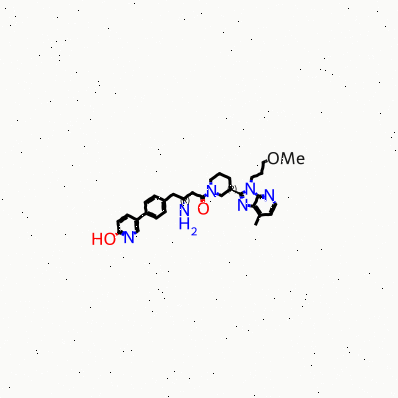 COCCCn1c([C@@H]2CCCN(C(=O)C[C@H](N)Cc3ccc(-c4ccc(O)nc4)cc3)C2)nc2c(C)ccnc21